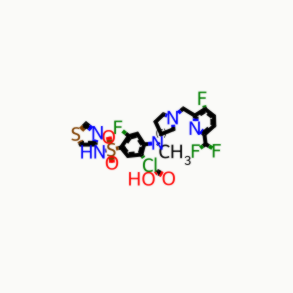 CN(c1cc(F)c(S(=O)(=O)Nc2cscn2)cc1Cl)[C@H]1CCN(Cc2nc(C(F)F)ccc2F)C1.O=CO